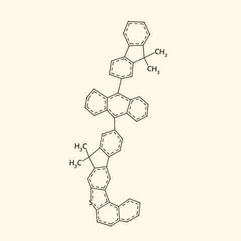 CC1(C)c2ccccc2-c2ccc(-c3c4ccccc4c(-c4ccc5c(c4)C(C)(C)c4cc6sc7ccc8ccccc8c7c6cc4-5)c4ccccc34)cc21